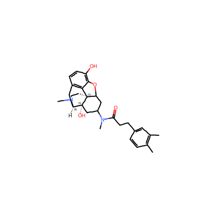 Cc1ccc(CCC(=O)N(C)C2CC3Oc4c(O)ccc5c4[C@@]34CCN(C)[C@H](C5)[C@]4(O)C2)cc1C